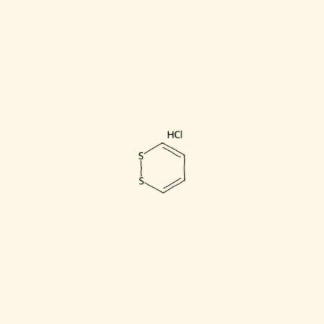 C1=CSSC=C1.Cl